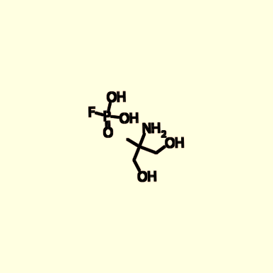 CC(N)(CO)CO.O=P(O)(O)F